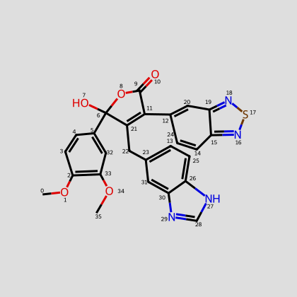 COc1ccc(C2(O)OC(=O)C(c3ccc4nsnc4c3)=C2Cc2ccc3[nH]cnc3c2)cc1OC